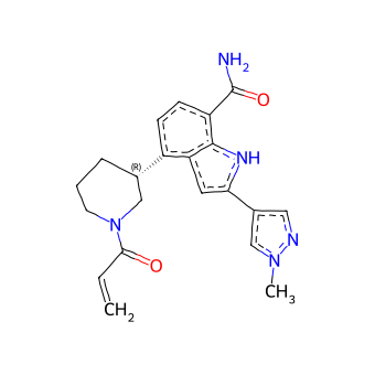 C=CC(=O)N1CCC[C@H](c2ccc(C(N)=O)c3[nH]c(-c4cnn(C)c4)cc23)C1